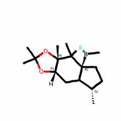 CB(F)[C@@]12CC[C@H](C)C1C[C@@H]1OC(C)(C)O[C@]1(C)C2(C)C